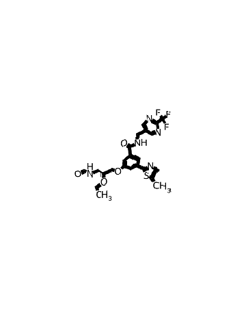 CCO[C@@H](CNC=O)COc1cc(C(=O)NCc2cnc(C(F)(F)F)nc2)cc(-c2ncc(C)s2)c1